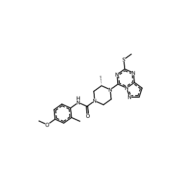 COc1ccc(NC(=O)N2CCN(c3nc(SC)nc4ccnn34)[C@@H](C)C2)c(C)c1